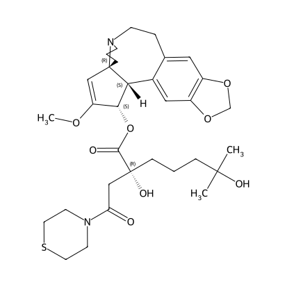 COC1=C[C@]23CCCN2CCc2cc4c(cc2[C@@H]3[C@@H]1OC(=O)[C@@](O)(CCCC(C)(C)O)CC(=O)N1CCSCC1)OCO4